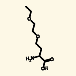 CCOCCOCCC(N)C(=O)O